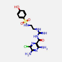 N=C(NCCNS(=O)(=O)c1ccc(O)cc1)NC(=O)c1nc(Cl)c(N)nc1N